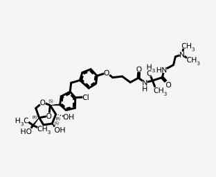 CN(C)CCNC(=O)C(C)(C)NC(=O)CCCOc1ccc(Cc2cc([C@@]34OC[C@@](C(C)(C)O)(C[C@H](O)[C@H]3O)O4)ccc2Cl)cc1